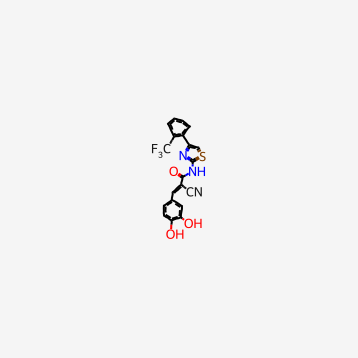 N#C/C(=C\c1ccc(O)c(O)c1)C(=O)Nc1nc(-c2ccccc2C(F)(F)F)cs1